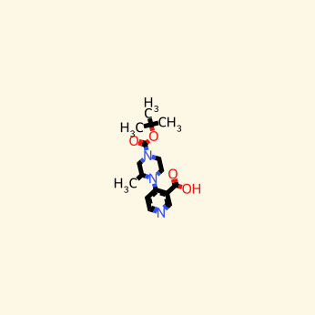 CC1CN(C(=O)OC(C)(C)C)CCN1c1ccncc1C(=O)O